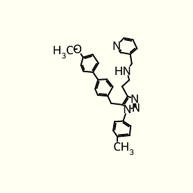 COc1ccc(-c2ccc(Cc3c(CCNCc4cccnc4)nnn3-c3ccc(C)cc3)cc2)cc1